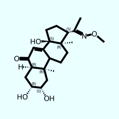 CON=C(C)[C@H]1CC[C@@]2(O)C3=CC(=O)[C@@H]4C[C@@H](O)[C@@H](O)C[C@]4(C)C3CC[C@]12C